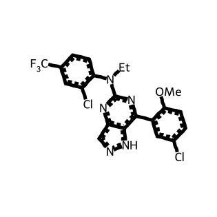 CCN(c1nc(-c2cc(Cl)ccc2OC)c2[nH]ncc2n1)c1ccc(C(F)(F)F)cc1Cl